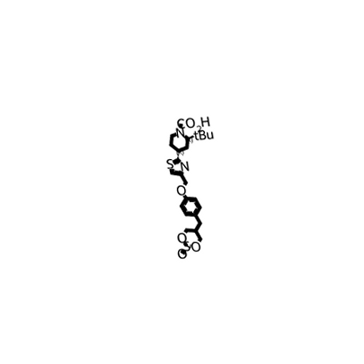 CC(C)(C)[C@H]1C[C@H](c2nc(COc3ccc(CC4COS(=O)OC4)cc3)cs2)CCN1C(=O)O